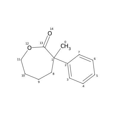 CC1(c2ccccc2)CCCCOC1=O